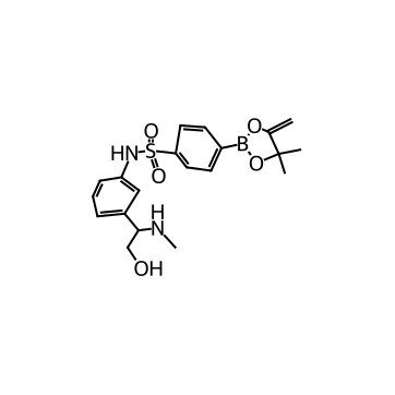 C=C1OB(c2ccc(S(=O)(=O)Nc3cccc(C(CO)NC)c3)cc2)OC1(C)C